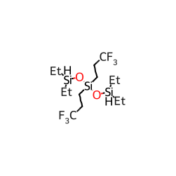 CC[SiH](CC)O[Si](CCC(F)(F)F)(CCC(F)(F)F)O[SiH](CC)CC